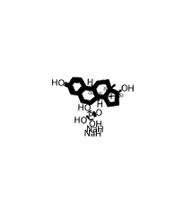 C[C@]12CC[C@@H]3c4ccc(O)cc4CC[C@H]3[C@@H]1CC[C@@H]2O.O=P(O)(O)O.[NaH].[NaH]